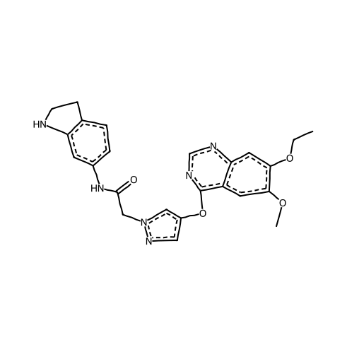 CCOc1cc2ncnc(Oc3cnn(CC(=O)Nc4ccc5c(c4)NCC5)c3)c2cc1OC